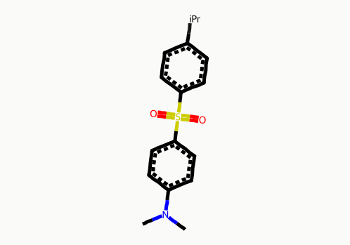 CC(C)c1ccc(S(=O)(=O)c2ccc(N(C)C)cc2)cc1